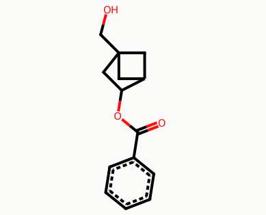 O=C(OC1CC2(CO)CC1C2)c1ccccc1